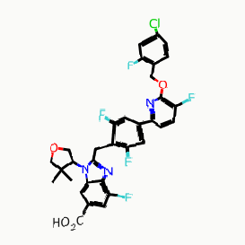 CC1(C)COCC1n1c(Cc2c(F)cc(-c3ccc(F)c(OCc4ccc(Cl)cc4F)n3)cc2F)nc2c(F)cc(C(=O)O)cc21